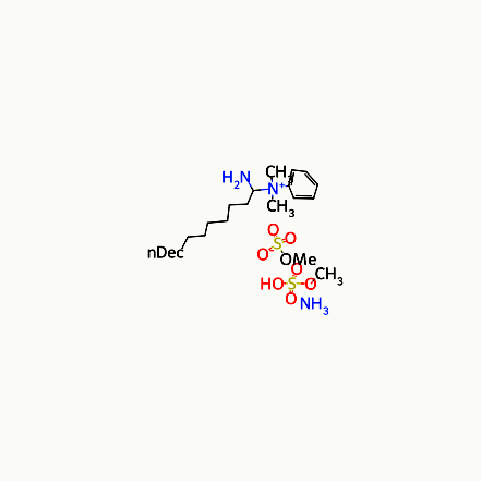 CCCCCCCCCCCCCCCCC(N)[N+](C)(C)c1ccccc1.COS(=O)(=O)O.COS(=O)(=O)[O-].N